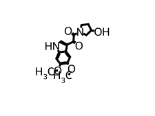 COc1cc2[nH]cc(C(=O)C(=O)N3CCC(O)C3)c2cc1OC